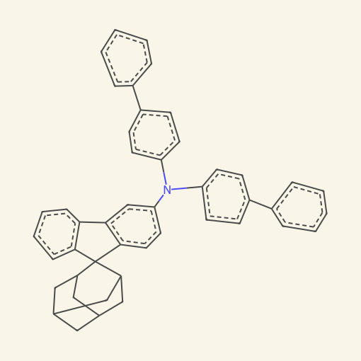 c1ccc(-c2ccc(N(c3ccc(-c4ccccc4)cc3)c3ccc4c(c3)-c3ccccc3C43C4CC5CC(C4)CC3C5)cc2)cc1